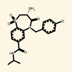 CC(C)NC(=O)c1ccc2c(c1)N(Cc1ccc(Cl)cc1)C(=O)[C@@H](N)CS2(=O)=O